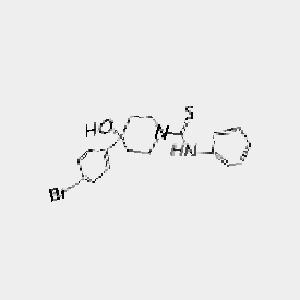 OC1(c2ccc(Br)cc2)CCN(C(=S)Nc2ccccc2)CC1